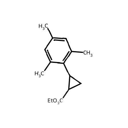 CCOC(=O)C1CC1c1c(C)cc(C)cc1C